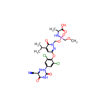 COCP(=O)(NC(C)C(=O)O)OCn1nc(Oc2c(Cl)cc(-n3nc(C#N)c(=O)[nH]c3=O)cc2Cl)cc(C(C)C)c1=O